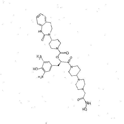 Bc1cc(C[C@@H](OC(=O)N2CCC(N3CCc4ccccc4NC3=O)CC2)C(=O)N2CCC(N3CCN(CC(=O)NO)CC3)CC2)cc(B)c1O